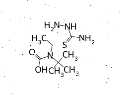 CCN(C(=O)O)C(C)(C)C.NNC(N)=S